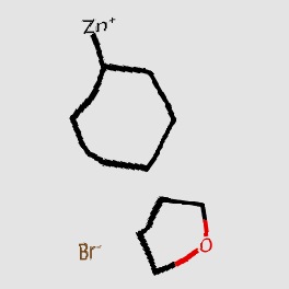 C1CCOC1.[Br-].[Zn+][CH]1CCCCC1